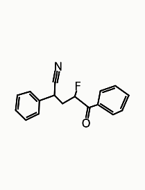 N#CC(CC(F)C(=O)c1ccccc1)c1ccccc1